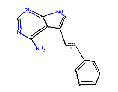 Nc1ncnc2[nH]cc(/C=C/c3ccccc3)c12